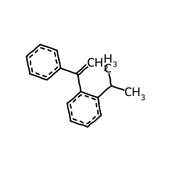 C=C(c1ccccc1)c1ccccc1C(C)C